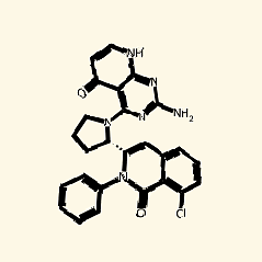 Nc1nc(N2CCC[C@H]2c2cc3cccc(Cl)c3c(=O)n2-c2ccccc2)c2c(=O)cc[nH]c2n1